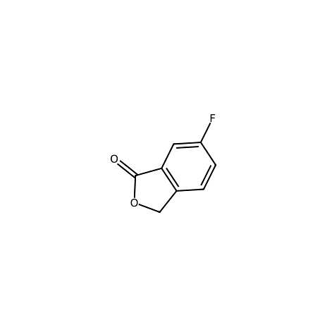 O=C1OCc2ccc(F)cc21